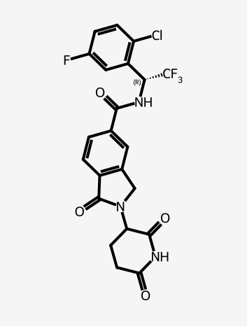 O=C1CCC(N2Cc3cc(C(=O)N[C@H](c4cc(F)ccc4Cl)C(F)(F)F)ccc3C2=O)C(=O)N1